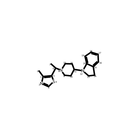 Cc1ncsc1C(C)N1CCC(N2CCc3ccccc32)CC1